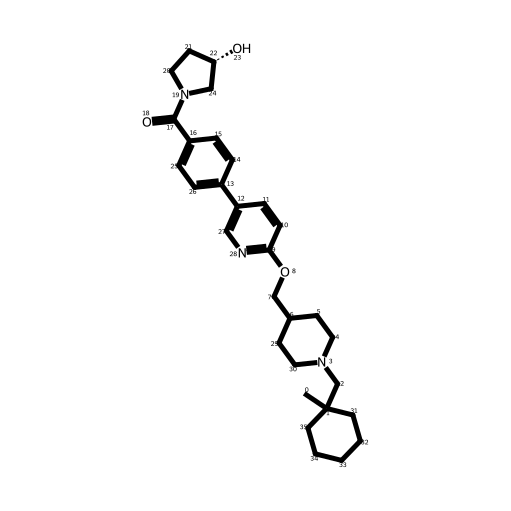 CC1(CN2CCC(COc3ccc(-c4ccc(C(=O)N5CC[C@H](O)C5)cc4)cn3)CC2)CCCCC1